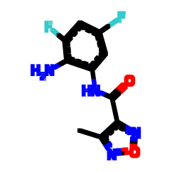 Cc1nonc1C(=O)Nc1cc(F)cc(F)c1N